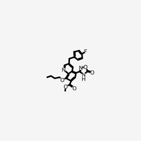 CCCCOc1c(C(=O)OC)cc(-c2noc(=O)[nH]2)c2cc(Cc3ccc(F)cc3)cnc12